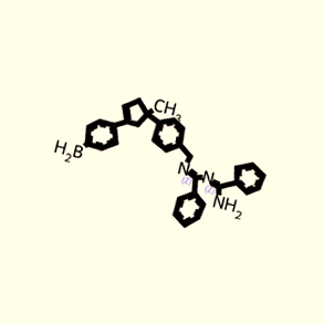 Bc1ccc(C2=CCC(C)(c3ccc(C/N=C(\N=C(/N)c4ccccc4)c4ccccc4)cc3)C2)cc1